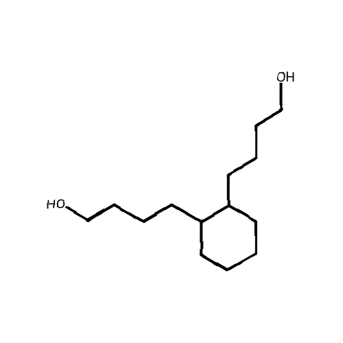 OCCCCC1CCCCC1CCCCO